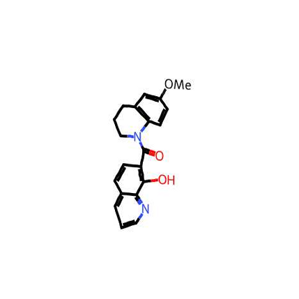 COc1ccc2c(c1)CCCN2C(=O)c1ccc2cccnc2c1O